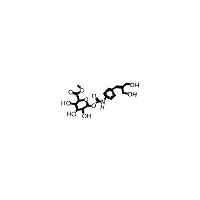 COC(=O)C1OC(OC(=O)Nc2ccc(C=C(CO)CO)cc2)C(O)C(O)C1O